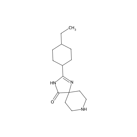 CCC1CCC(C2=NC3(CCNCC3)C(=O)N2)CC1